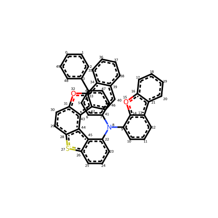 c1ccc(-c2ccc(N(c3cccc4c3oc3ccccc34)c3cccc4sc5ccc6oc7c8ccccc8ccc7c6c5c34)cc2)cc1